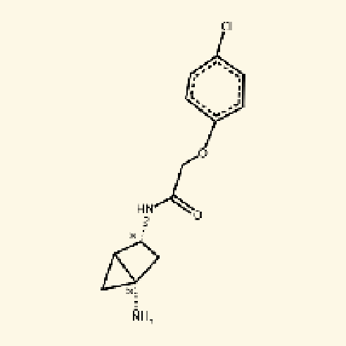 N[C@]12CC1[C@H](NC(=O)COc1ccc(Cl)cc1)C2